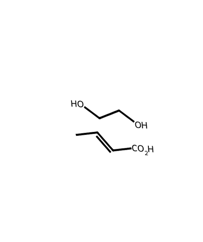 C/C=C/C(=O)O.OCCO